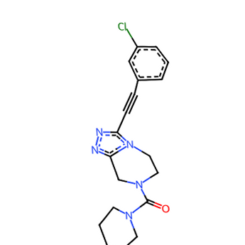 O=C(N1CCCCC1)N1CCn2c(C#Cc3cccc(Cl)c3)nnc2C1